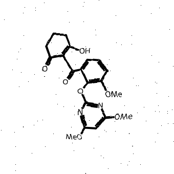 COc1cc(OC)nc(Oc2c(OC)cccc2C(=O)C2=C(O)CCCC2=O)n1